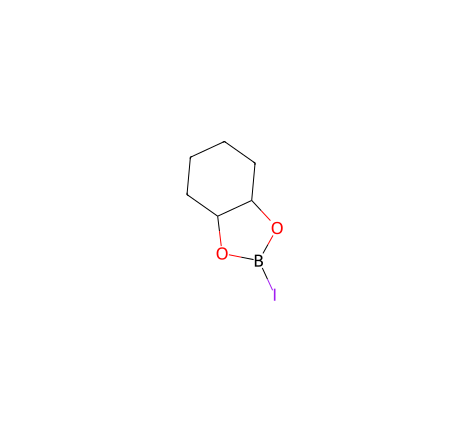 IB1OC2CCCCC2O1